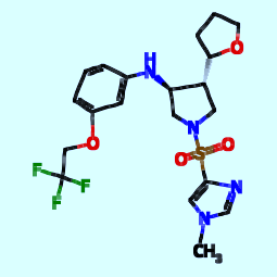 Cn1cnc(S(=O)(=O)N2C[C@@H](Nc3cccc(OCC(F)(F)F)c3)[C@H](C3CCCO3)C2)c1